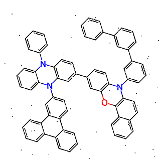 c1ccc(-c2cccc(-c3cccc(N4c5ccc(-c6ccc7c(c6)N(c6ccc8c9ccccc9c9ccccc9c8c6)c6ccccc6N7c6ccccc6)cc5Oc5c4ccc4ccccc54)c3)c2)cc1